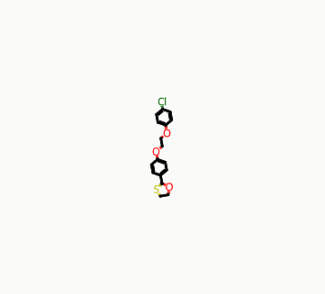 Clc1ccc(OCCOc2ccc(C3OCCS3)cc2)cc1